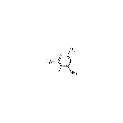 Cc1nc(C(F)(F)F)nc(N)c1I